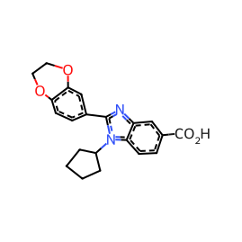 O=C(O)c1ccc2c(c1)nc(-c1ccc3c(c1)OCCO3)n2C1CCCC1